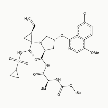 C=C[C@@H]1C[C@@]1(C(=O)NS(=O)(=O)C1CC1)N1C[C@H](Oc2ncc(OC)c3ccc(Cl)cc23)C[C@H]1C(=O)NC(=O)[C@@H](NC(=O)OC(C)(C)C)C(C)(C)C